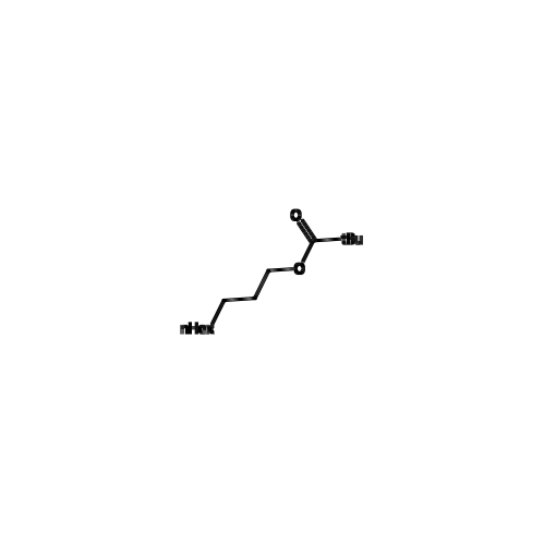 [CH2]CCCCCCCCOC(=O)C(C)(C)C